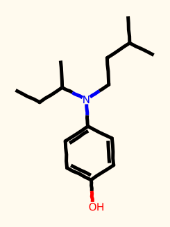 CCC(C)N(CCC(C)C)c1ccc(O)cc1